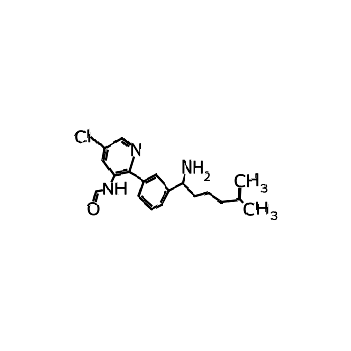 CC(C)CCCC(N)c1cccc(-c2ncc(Cl)cc2NC=O)c1